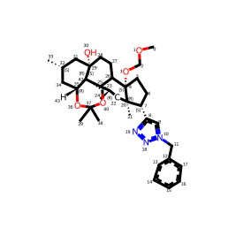 COCO[C@]12CC[C@H](c3cn(Cc4ccccc4)nn3)[C@@]1(C)C[C@@H](C)C1C2CC[C@]2(O)C[C@@H](C)C[C@H]3OC(C)(C)OC[C@]132